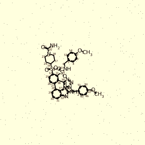 COc1ccc(CNS(=O)(=O)c2c(S(=O)(=O)C3CCN(C(N)=O)CC3)ccc(-c3cccc4nc(N)[nH]c34)c2-c2nnn(Cc3ccc(OC)cc3)n2)cc1